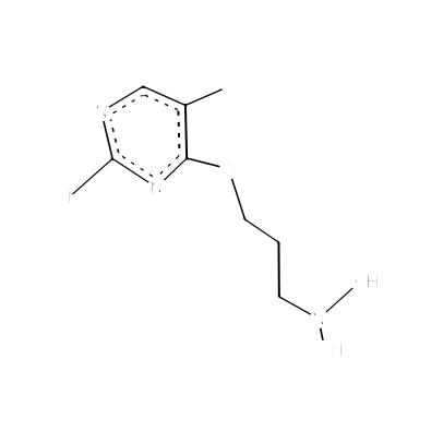 CN(C)CCCOc1nc(Cl)ncc1F